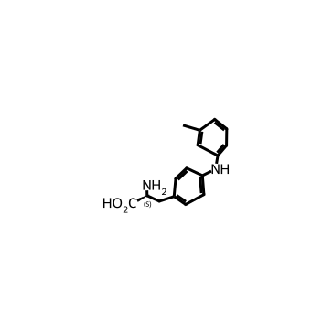 Cc1cccc(Nc2ccc(C[C@H](N)C(=O)O)cc2)c1